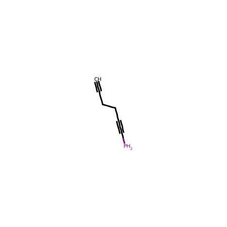 C#CCCC#CP